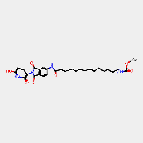 CC(C)(C)OC(=O)NCCCCCCCCCCCCCC(=O)Nc1ccc2c(c1)C(=O)N(C1CCC(O)NC1=O)C2=O